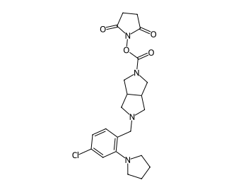 O=C(ON1C(=O)CCC1=O)N1CC2CN(Cc3ccc(Cl)cc3N3CCCC3)CC2C1